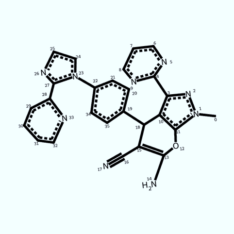 Cn1nc(-c2ncccn2)c2c1OC(N)=C(C#N)C2c1ccc(-n2ccnc2-c2ccccn2)cc1